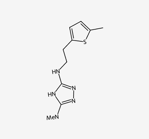 CNc1nnc(NCCc2ccc(C)s2)[nH]1